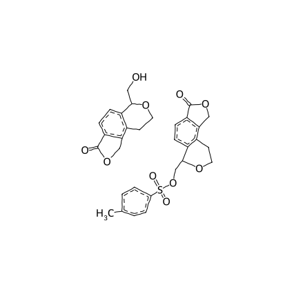 Cc1ccc(S(=O)(=O)OCC2OCCc3c2ccc2c3COC2=O)cc1.O=C1OCc2c1ccc1c2CCOC1CO